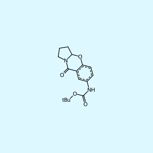 CC(C)(C)OC(=O)Nc1ccc2c(c1)C(=O)N1CCCC1O2